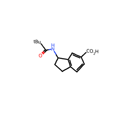 CC(C)(C)C(=O)NC1CCc2ccc(C(=O)O)cc21